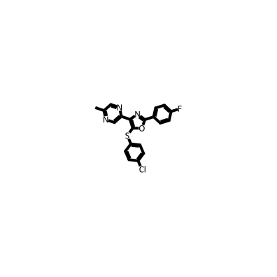 Cc1cnc(-c2nc(-c3ccc(F)cc3)oc2Sc2ccc(Cl)cc2)cn1